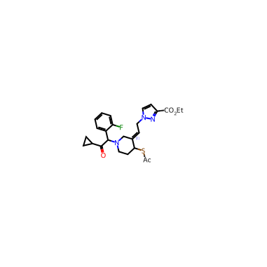 CCOC(=O)c1ccn(C/C=C2\CN(C(C(=O)C3CC3)c3ccccc3F)CCC2SC(C)=O)n1